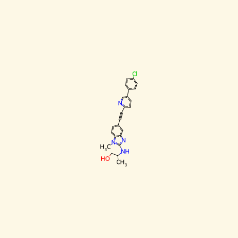 CC(CO)Nc1nc2cc(C#Cc3ccc(-c4ccc(Cl)cc4)cn3)ccc2n1C